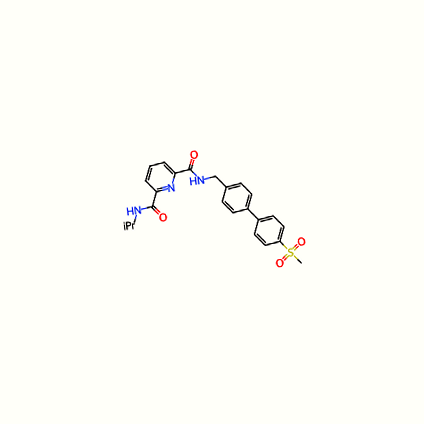 CC(C)NC(=O)c1cccc(C(=O)NCc2ccc(-c3ccc(S(C)(=O)=O)cc3)cc2)n1